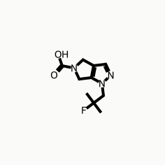 CC(C)(F)Cn1ncc2c1CN(C(=O)O)C2